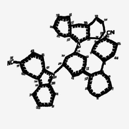 N#Cc1ccc(-c2ccccc2-c2cc(-n3c4c(c5ccccc53)C=CCC4)cc(-n3c4ccccc4c4cc(C#N)ccc43)c2)cc1